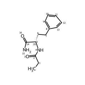 CCC(=O)N[C@@H](CCc1ccccc1)C(N)=O